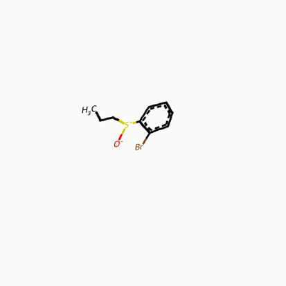 CCC[S+]([O-])c1ccccc1Br